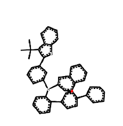 CC(C)(C)c1c(-c2cccc(N(c3ccc4ccccc4c3)c3ccccc3-c3ccc(-c4ccccc4)cc3)c2)oc2ccccc12